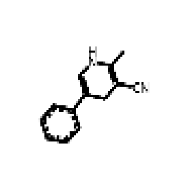 CC1=C(C#N)CC(c2ccccc2)=CN1